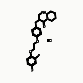 Cl.NCC(Cc1ccc(OCCOc2ccc(F)cc2F)cc1)C(=O)N1CCCCC1